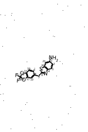 Nc1ccc2nc(Cc3ccc4c(c3)OC(F)(F)O4)sc2c1